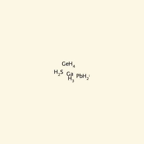 S.[GaH3].[GeH4].[PbH2]